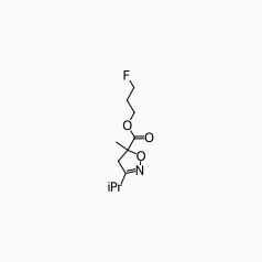 CC(C)C1=NOC(C)(C(=O)OCCCF)C1